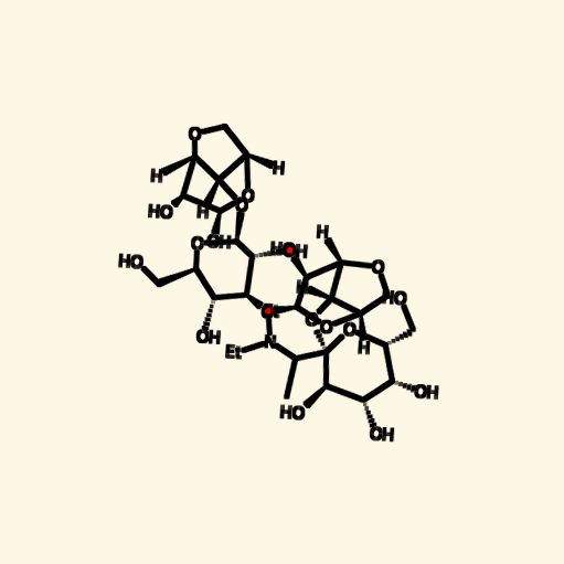 CCN(CC)C(C)[C@@]1(O[C@@H]2[C@H]3OC[C@@H]2O[C@@H](O[C@@H]2[C@@H](O)[C@H](O[C@@H]4[C@H]5OC[C@@H]4O[C@@H](O)[C@H]5O)O[C@H](CO)[C@H]2O)[C@H]3O)O[C@H](CO)[C@H](O)[C@H](O)[C@H]1O